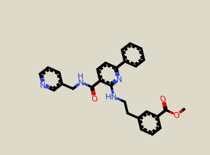 COC(=O)c1cccc(CCNc2nc(-c3ccccc3)ccc2C(=O)NCc2cccnc2)c1